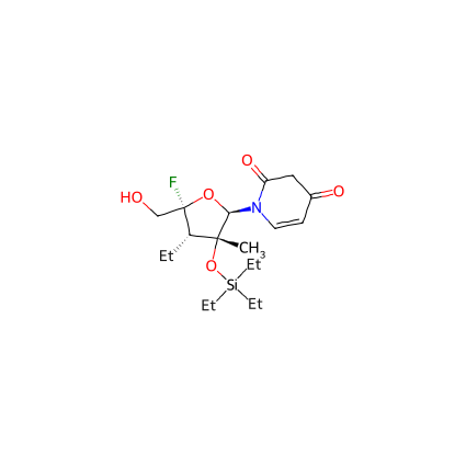 CC[C@H]1[C@@](C)(O[Si](CC)(CC)CC)[C@H](N2C=CC(=O)CC2=O)O[C@]1(F)CO